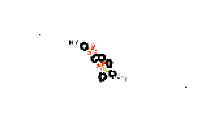 Cc1ccc(S(OS(=O)(=O)c2cccc3c(OS(=O)(=O)c4ccc(C)cc4)cccc23)(c2ccccc2)c2ccccc2)cc1